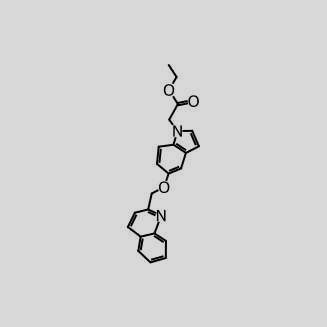 CCOC(=O)Cn1ccc2cc(OCc3ccc4ccccc4n3)ccc21